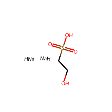 O=S(=O)(O)CCO.[NaH].[NaH]